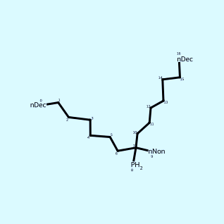 CCCCCCCCCCCCCCCCC(P)(CCCCCCCCC)CCCCCCCCCCCCCCCC